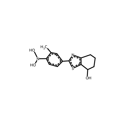 Cc1cc(-c2nc3c(s2)C(O)CCC3)ccc1N(O)O